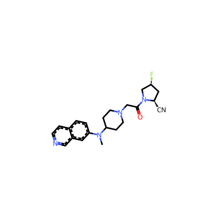 CN(c1ccc2ccncc2c1)C1CCN(CC(=O)N2C[C@@H](F)C[C@H]2C#N)CC1